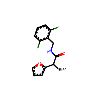 CC(=O)NC(C(=O)NCc1c(F)cccc1F)c1ccco1